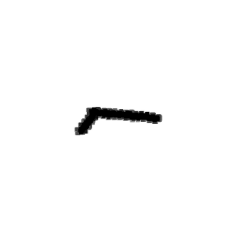 CCCCCCCCCCCCCCCCCCCCCCCC(C)CCCCCCCC